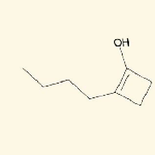 CCCCC1=C(O)CC1